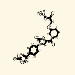 CC(C)(C)OC(=O)COC1CCCN(C(=O)C2CN(c3ccc(-c4noc(=O)[nH]4)cc3)C(=O)O2)C1